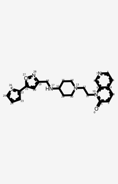 O=c1ccc2ccncc2n1CCN1CCC(NCc2cc(-c3cccs3)on2)CC1